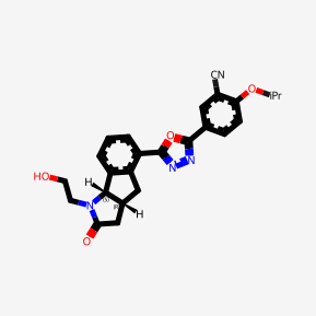 CC(C)Oc1ccc(-c2nnc(-c3cccc4c3C[C@@H]3CC(=O)N(CCO)[C@H]43)o2)cc1C#N